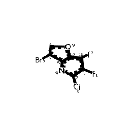 Fc1c(Cl)nc2c(Br)coc2c1I